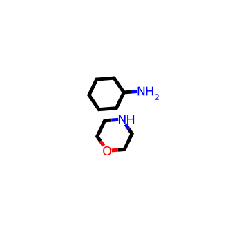 C1COCCN1.NC1CCCCC1